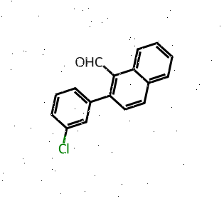 O=Cc1c(-c2cccc(Cl)c2)ccc2ccccc12